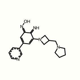 N=C1C(N2CC(CN3CCCC3)C2)=CC(c2cccnc2)=C/C1=N/O